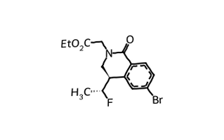 CCOC(=O)CN1C[C@H]([C@@H](C)F)c2cc(Br)ccc2C1=O